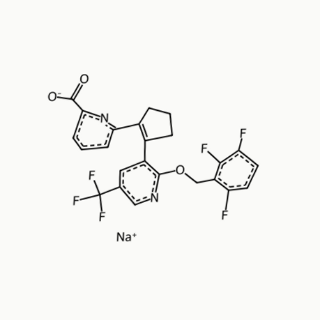 O=C([O-])c1cccc(C2=C(c3cc(C(F)(F)F)cnc3OCc3c(F)ccc(F)c3F)CCC2)n1.[Na+]